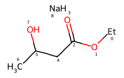 CCOC(=O)CC(C)O.[NaH]